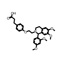 COc1ccc(C2c3cc(OC)c(OC)cc3CCN2CCOc2ccc(CCC(=O)O)cc2)c(OC)c1